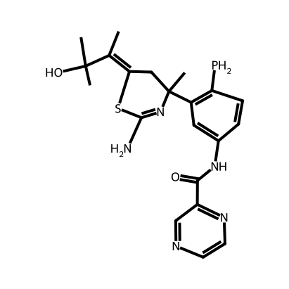 C/C(=C1\CC(C)(c2cc(NC(=O)c3cnccn3)ccc2P)N=C(N)S1)C(C)(C)O